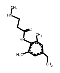 BCc1cc(C)c(NC(=O)CCNC)c(C)c1